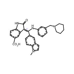 Cn1ccc2cc(/C(Nc3cccc(CN4CCCCC4)c3)=C3/C(=O)Nc4ccc(C(=O)O)cc43)ccc21